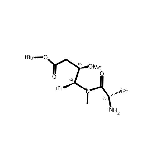 CO[C@H](CC(=O)OC(C)(C)C)[C@H](C(C)C)N(C)C(=O)[C@@H](N)C(C)C